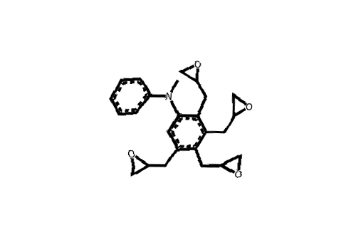 CN(c1ccccc1)c1cc(CC2CO2)c(CC2CO2)c(CC2CO2)c1CC1CO1